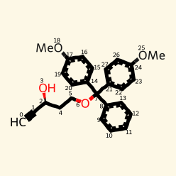 C#C[C@@H](O)CCOC(c1ccccc1)(c1ccc(OC)cc1)c1ccc(OC)cc1